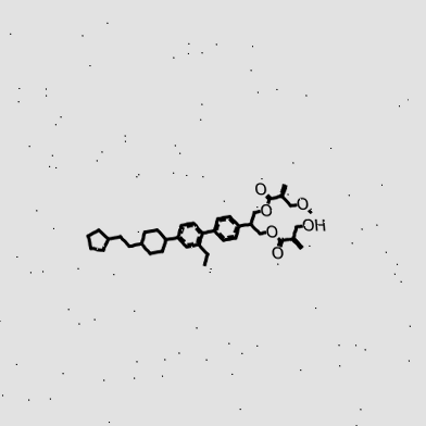 C=C(CO)C(=O)OCC(COC(=O)C(=C)COC)c1ccc(-c2ccc(C3CCC(CCC4CCCC4)CC3)cc2CC)cc1